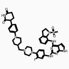 CS(=O)(=O)N1CCc2cccc(Nc3nc(Nc4ccc(N5CCN(CC6CCN(c7ccc(C8CCC(=O)NC8=O)cc7)CC6)CC5)c(F)c4)nc4[nH]ccc34)c21